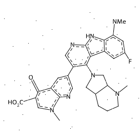 CNc1cc(F)cc2c1[nH]c1ncc(-c3cnc4c(c3)c(=O)c(C(=O)O)cn4C)c(N3CC4CCCN(C)C4C3)c12